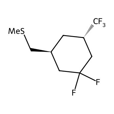 CSC[C@H]1C[C@H](C(F)(F)F)CC(F)(F)C1